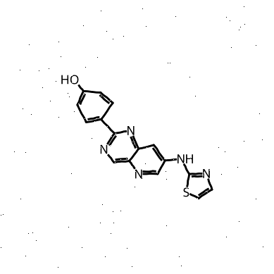 Oc1ccc(-c2ncc3ncc(Nc4nccs4)cc3n2)cc1